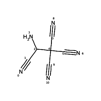 N#CC(N)C(C#N)(C#N)C#N